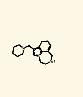 C1=C2CNCCn3cc(CN4CCCCC4)c(c32)CC1